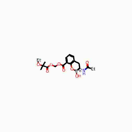 CCOC(C)(C)C(=O)OCOC(=O)c1cccc2c1OB(O)[C@@H](NC(=O)CC)C2